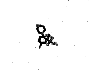 NC1(N2CCNCC2)C=CC(F)=CC1(F)S(N)(=O)=O